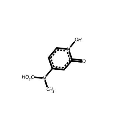 CN(C(=O)O)c1ccn(O)c(=O)c1